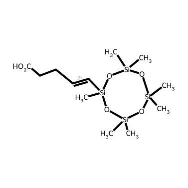 C[Si]1(C)O[Si](C)(C)O[Si](C)(/C=C/CCC(=O)O)O[Si](C)(C)O1